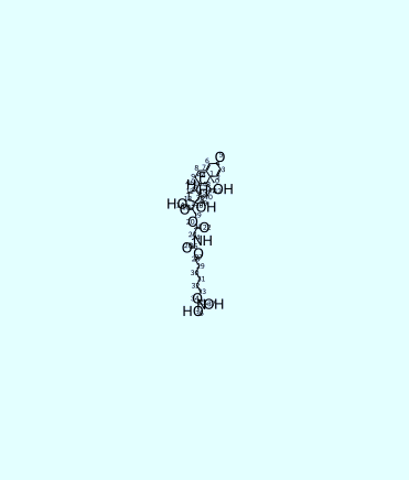 C[C@]12C=CC(=O)C=C1CC[C@H]1[C@@H]3C[C@@H](O)[C@](O)(C(=O)COC(=O)CNC(=O)OCCCCCCON(O)O)[C@@]3(C)C[C@H](O)[C@@]12F